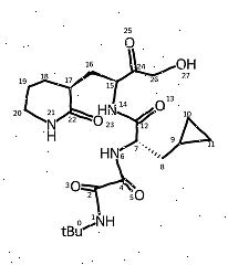 CC(C)(C)NC(=O)C(=O)N[C@@H](CC1CC1)C(=O)N[C@@H](C[C@@H]1CCCNC1=O)C(=O)CO